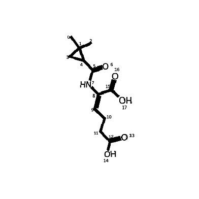 CC1(C)CC1C(=O)N/C(=C/CCC(=O)O)C(=O)O